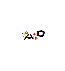 CC(C)(CC(C)(C)S(=O)(=O)c1ccccc1)S(C)(=O)=O